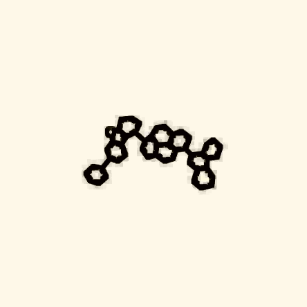 c1ccc(-c2ccc3c(c2)oc2cccc(-c4ccc5ccc6c(-c7cc8ccccc8c8ccccc78)ccc7ccc4c5c76)c23)cc1